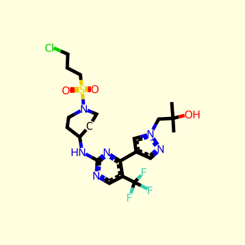 CC(C)(O)Cn1cc(-c2nc(NC3CCN(S(=O)(=O)CCCCl)CC3)ncc2C(F)(F)F)cn1